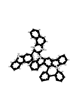 c1ccc2c(c1)-c1ccccc1-n1c3ccccc3c3cc4c(c-2c31)c1ccccc1n4-c1nc2ccc3ccccc3c2nc1-c1ccc2c(c1)oc1ccccc12